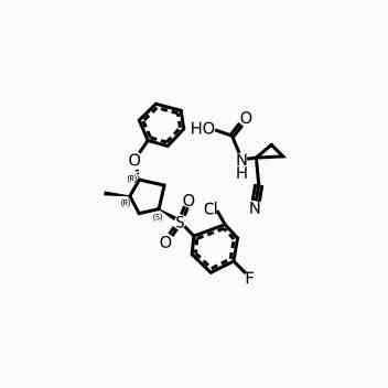 C[C@@H]1C[C@H](S(=O)(=O)c2ccc(F)cc2Cl)C[C@H]1Oc1ccccc1.N#CC1(NC(=O)O)CC1